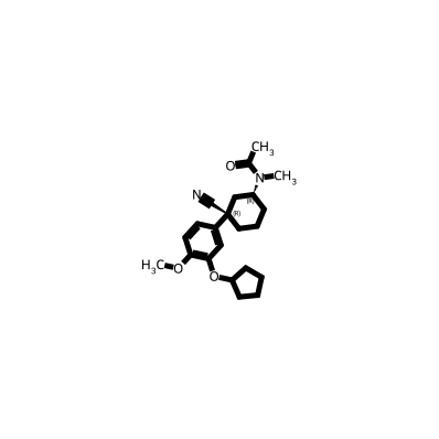 COc1ccc([C@@]2(C#N)CCC[C@@H](N(C)C(C)=O)C2)cc1OC1CCCC1